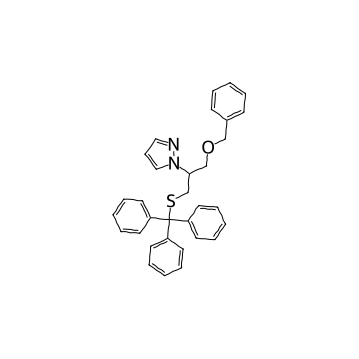 c1ccc(COCC(CSC(c2ccccc2)(c2ccccc2)c2ccccc2)n2cccn2)cc1